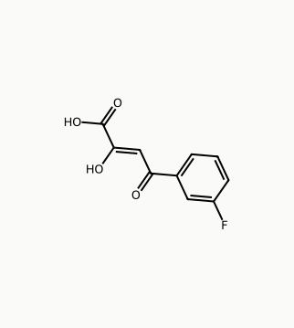 O=C(O)/C(O)=C/C(=O)c1cccc(F)c1